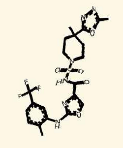 Cc1nnc(C2(C)CCN(S(=O)(=O)NC(=O)c3coc(Nc4cc(C(F)(F)F)ccc4C)n3)CC2)o1